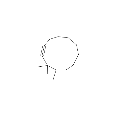 CC1CCCCCCCC#CC1(C)C